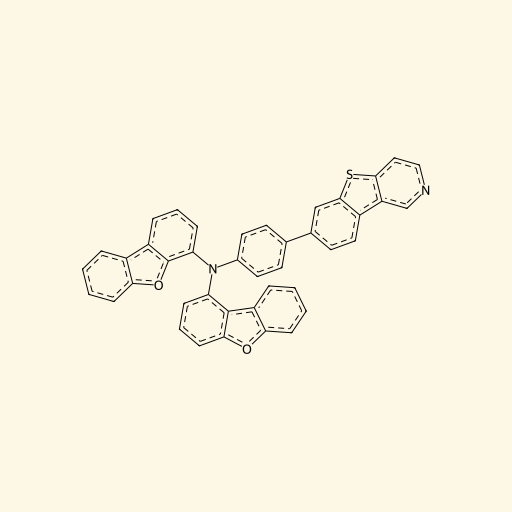 c1ccc2c(c1)oc1c(N(c3ccc(-c4ccc5c(c4)sc4ccncc45)cc3)c3cccc4oc5ccccc5c34)cccc12